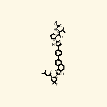 COC(=O)N[C@H](C(=O)N1CCC[C@H]1c1ncc(-c2ccc(-c3ccc4c(c3)CCc3[nH]c([C@@H]5CC(F)(F)CN5C(=O)CC(C)C)nc3-4)cc2)[nH]1)C(C)C